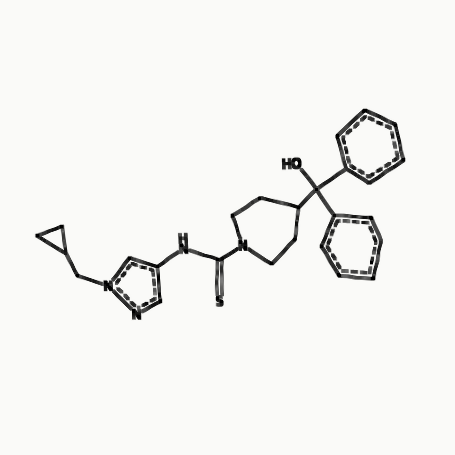 OC(c1ccccc1)(c1ccccc1)C1CCN(C(=S)Nc2cnn(CC3CC3)c2)CC1